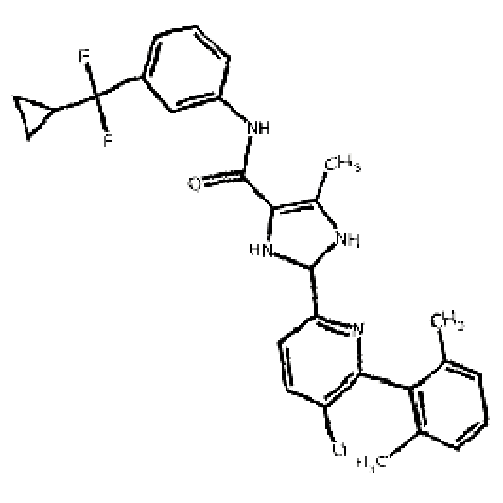 CC1=C(C(=O)Nc2cccc(C(F)(F)C3CC3)c2)NC(c2ccc(Cl)c(-c3c(C)cccc3C)n2)N1